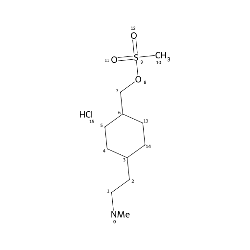 CNCCC1CCC(COS(C)(=O)=O)CC1.Cl